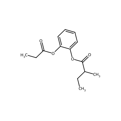 CCC(=O)Oc1ccccc1OC(=O)C(C)CC